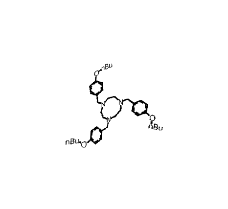 CCCCOc1ccc(CN2CCN(Cc3ccc(OCCCC)cc3)CCN(Cc3ccc(OCCCC)cc3)CC2)cc1